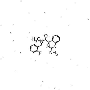 CN(Cc1ccccc1F)C(=O)c1nc(N)nc2ccccc12